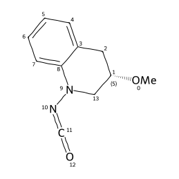 CO[C@H]1Cc2ccccc2N(N=C=O)C1